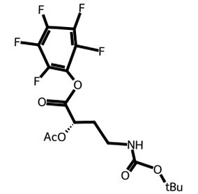 CC(=O)O[C@@H](CCNC(=O)OC(C)(C)C)C(=O)Oc1c(F)c(F)c(F)c(F)c1F